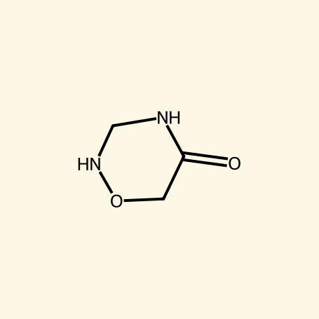 O=C1CONCN1